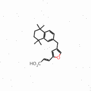 CC1(C)CCC(C)(C)c2cc(Cc3coc(C=CC(=O)O)c3)ccc21